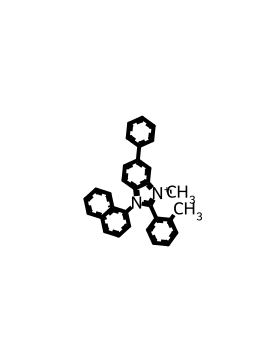 Cc1ccccc1-c1n(-c2cccc3ccccc23)c2ccc(-c3ccccc3)cc2[n+]1C